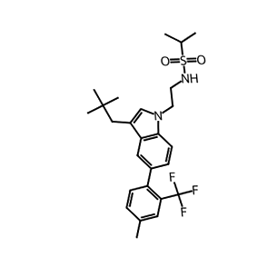 Cc1ccc(-c2ccc3c(c2)c(CC(C)(C)C)cn3CCNS(=O)(=O)C(C)C)c(C(F)(F)F)c1